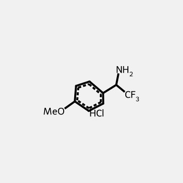 COc1ccc(C(N)C(F)(F)F)cc1.Cl